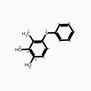 Cc1c(Sc2ccccc2)ccc(O)c1O